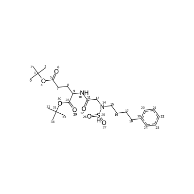 CC(C)(C)OC(=O)CCC(NC(=O)CN(CCCCc1ccccc1)[SH](=O)=O)C(=O)OC(C)(C)C